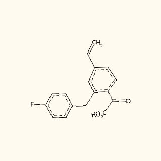 C=Cc1ccc(C(=O)C(=O)O)c(Cc2ccc(F)cc2)c1